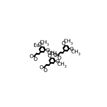 COc1cc(C=CC(=O)[O-])cc(OC)c1.COc1cc(C=CC(=O)[O-])cc(OC)c1.COc1cc(C=CC(=O)[O-])cc(OC)c1.[Eu+3]